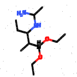 CCO[SiH](OCC)C(C)C(CC)NC(C)N